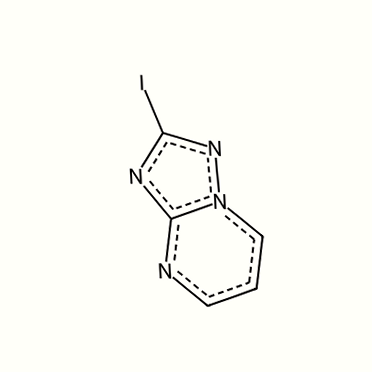 Ic1nc2ncccn2n1